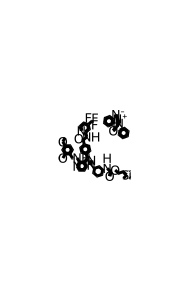 COc1ccc(CNc2nccc3c2c(-c2ccc(C(=O)Nc4cc(C(F)(F)F)ccn4)cc2)nn3[C@@H]2CCC[C@@H](NC(=O)OCC[Si](C)(C)C)C2)c(OC)c1.[N-]=[N+]=NP(=O)(c1ccccc1)c1ccccc1